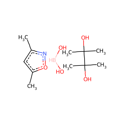 CC(C)(O)C(C)(C)O.Cc1cc(C)on1.OBO